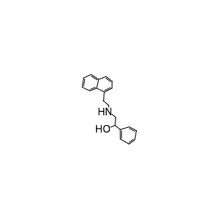 OC(CNCCc1cccc2ccccc12)c1ccccc1